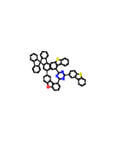 c1ccc2c(c1)-c1ccccc1C21c2ccccc2-c2ccc(-c3ccc4oc5cccc(-c6nc(-c7ccc8sc9ccccc9c8c7)nc(-c7cccc8sc9ccccc9c78)n6)c5c4c3)cc21